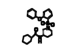 O=C(NC1CCCN(S(=O)(=O)c2ccccc2Oc2ccccc2)C1)C1CCCCC1